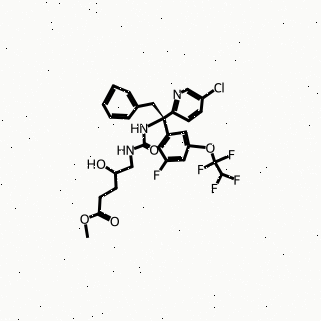 COC(=O)CCC(O)CNC(=O)N[C@@](Cc1ccccc1)(c1cc(F)cc(OC(F)(F)C(F)F)c1)c1ccc(Cl)cn1